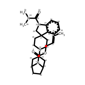 CC=CCOC(=O)N1C2CCC1CC(N1CCC3(CC1)CN(C(=O)N(C)C)c1ccccc13)C2